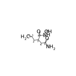 C=CCC(CC(N)=O)C(=O)NO